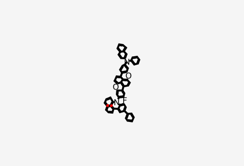 Fc1cc(-c2ccccc2)cc(-c2ccccc2)c1N(c1ccccc1)c1ccc2c(c1)Oc1ccc3c4c(ccc-2c14)Oc1cc(N(c2ccccc2)c2ccc4ccccc4c2)ccc1-3